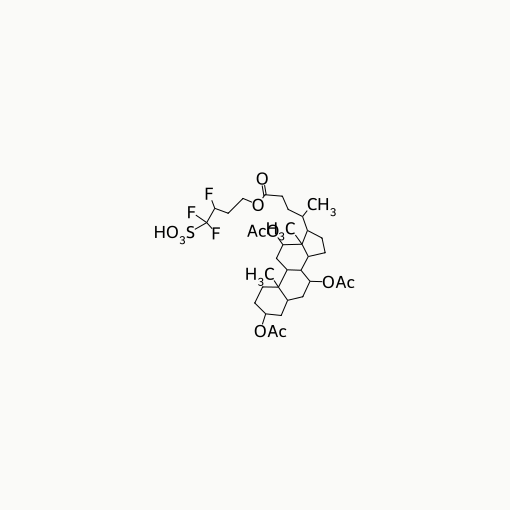 CC(=O)OC1CCC2(C)C(C1)CC(OC(C)=O)C1C2CC(OC(C)=O)C2(C)C(C(C)CCC(=O)OCCC(F)C(F)(F)S(=O)(=O)O)CCC12